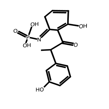 CC(C(=O)C1=C(O)C=CCC1=NP(=O)(O)O)c1cccc(O)c1